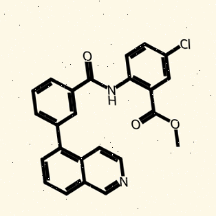 COC(=O)c1cc(Cl)ccc1NC(=O)c1cccc(-c2cccc3cnccc23)c1